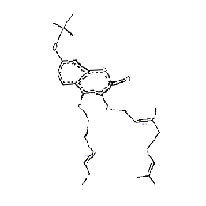 CC/C=C/CCOc1c(OC/C=C(\C)CCC=C(C)C)c(=O)oc2cc(OC(C)(C)C)ccc12